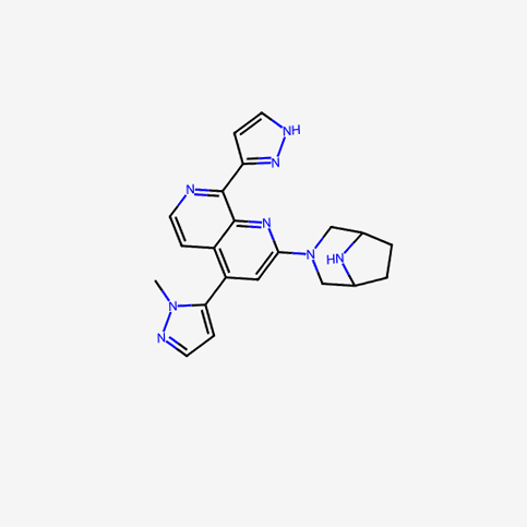 Cn1nccc1-c1cc(N2CC3CCC(C2)N3)nc2c(-c3cc[nH]n3)nccc12